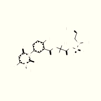 C=CCN(C)S(=O)(=O)OC(=O)C(C)(C)OC(=O)c1cc(-n2c(=O)cc(C(F)(F)F)n(C)c2=O)ccc1Cl